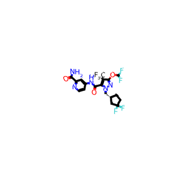 NC(=O)c1cc(NC(=O)c2c(C(F)(F)F)c(OC(F)F)nn2C[C@@H]2CCC(F)(F)C2)ccn1